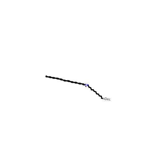 C#CC#CC#CC#CC#CC#CC#CC#CC#CC#CC#C[N+](C)(C)CCCCCCCCCCCCCCCCCCCCCC